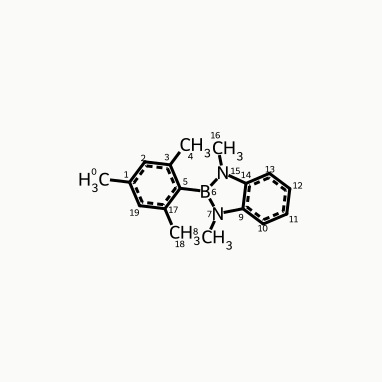 Cc1cc(C)c(B2N(C)c3ccccc3N2C)c(C)c1